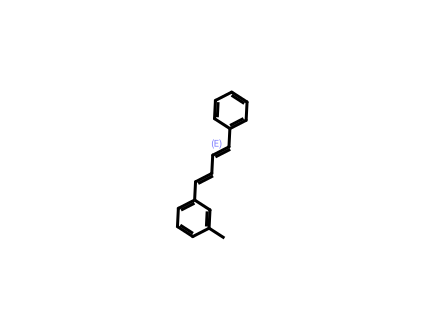 Cc1cccc(C=C/C=C/c2ccccc2)c1